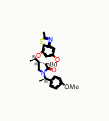 CCCCOc1cc(O[C@H](C)[C@@H]2CC(=O)N([C@H](C)c3ccc(OC)cc3)C2)c2sc(C)nc2c1